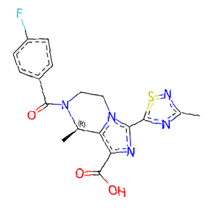 Cc1nsc(-c2nc(C(=O)O)c3n2CCN(C(=O)c2ccc(F)cc2)[C@@H]3C)n1